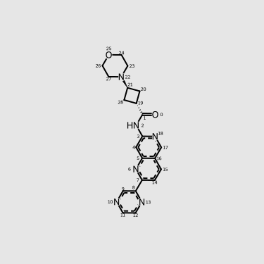 O=C(Nc1cc2nc(-c3cnccn3)ccc2cn1)[C@H]1C[C@H](N2CCOCC2)C1